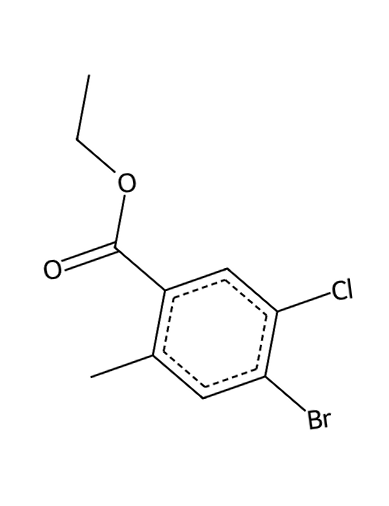 CCOC(=O)c1cc(Cl)c(Br)cc1C